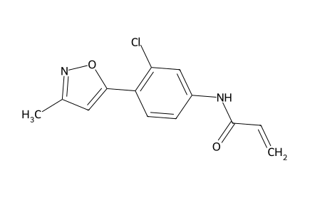 C=CC(=O)Nc1ccc(-c2cc(C)no2)c(Cl)c1